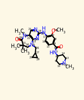 COc1cc(C(=O)NC2CCN(C)CC2)ccc1Nc1ncc2c(n1)N(CC1CC1)CC(C)(C)C(=O)N2C